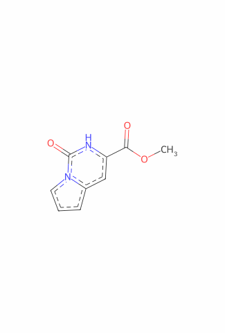 COC(=O)c1cc2cccn2c(=O)[nH]1